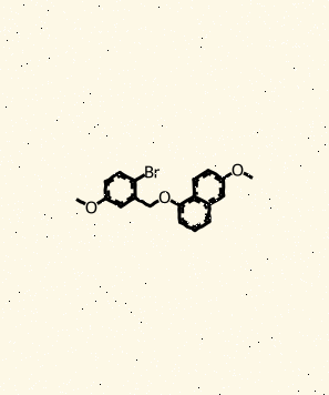 COc1ccc(Br)c(COc2cccc3cc(OC)ccc23)c1